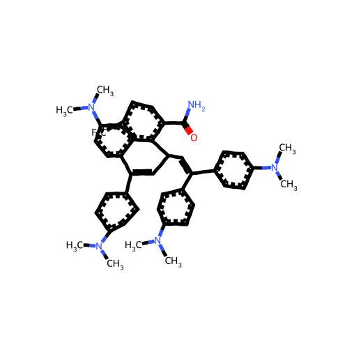 CN(C)c1ccc(C(=CC(C=C(c2ccc(N(C)C)cc2)c2ccc(N(C)C)cc2)c2cc(C(F)(F)F)ccc2C(N)=O)c2ccc(N(C)C)cc2)cc1